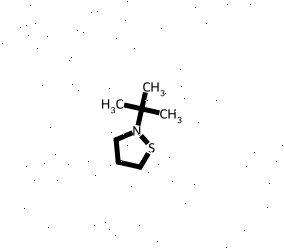 CC(C)(C)N1CCCS1